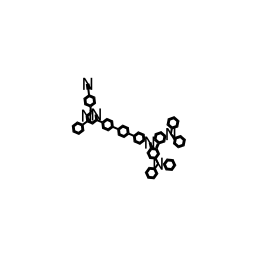 N#Cc1ccc(-c2nc(-c3ccccc3)cc(-c3ccc(-c4ccc(-c5ccc(-n6c7ccc(N(c8ccccc8)c8ccccc8)cc7c7cc(N(c8ccccc8)c8ccccc8)ccc76)cc5)cc4)cc3)n2)cc1